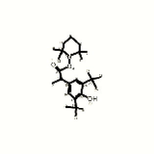 CC(C(=O)ON1C(C)(C)CCCC1(C)C)c1cc(C(C)(C)C)c(O)c(C(C)(C)C)c1